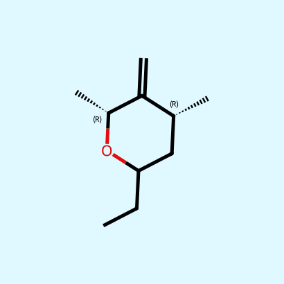 C=C1[C@H](C)CC(CC)O[C@@H]1C